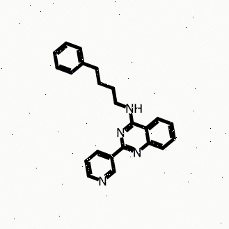 c1ccc(CCCCNc2nc(-c3cccnc3)nc3ccccc23)cc1